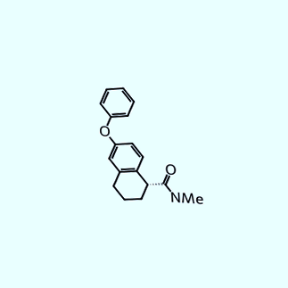 CNC(=O)[C@@H]1CCCc2cc(Oc3ccccc3)ccc21